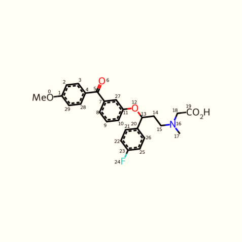 COc1ccc(C(=O)c2cccc(OC(CCN(C)CC(=O)O)c3ccc(F)cc3)c2)cc1